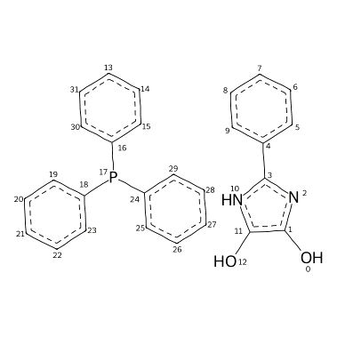 Oc1nc(-c2ccccc2)[nH]c1O.c1ccc(P(c2ccccc2)c2ccccc2)cc1